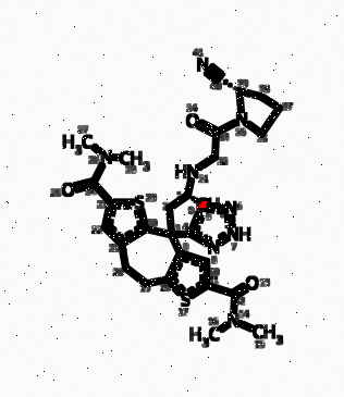 C[C@H](CC1(c2nn[nH]n2)c2cc(C(=O)N(C)C)sc2CCc2cc(C(=O)N(C)C)sc21)NCC(=O)N1CCC[C@H]1C#N